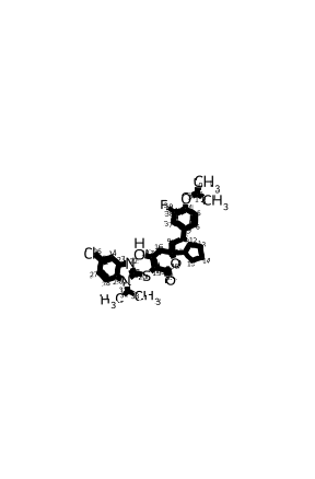 CC(C)Oc1ccc(CCC2(C3CCCC3)CC(O)=C(SC3=NC4C=C(Cl)C=CC4N3C(C)C)C(=O)O2)cc1F